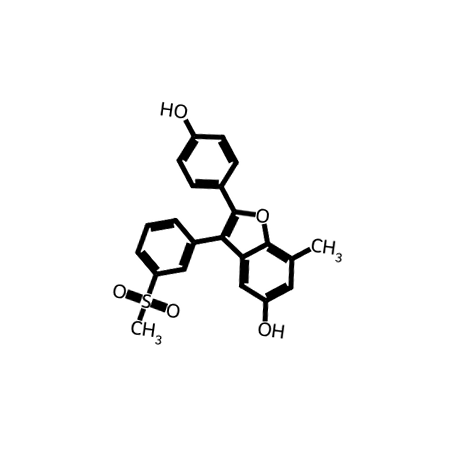 Cc1cc(O)cc2c(-c3cccc(S(C)(=O)=O)c3)c(-c3ccc(O)cc3)oc12